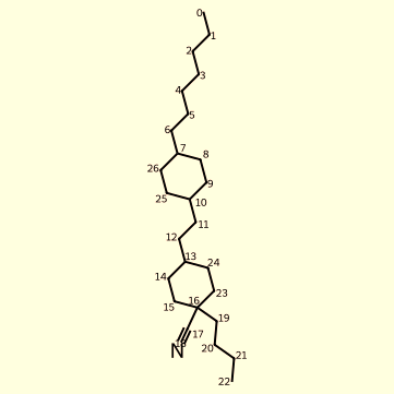 CCCCCCCC1CCC(CCC2CCC(C#N)(CCCC)CC2)CC1